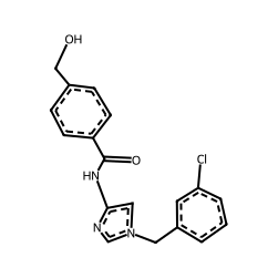 O=C(Nc1cn(Cc2cccc(Cl)c2)cn1)c1ccc(CO)cc1